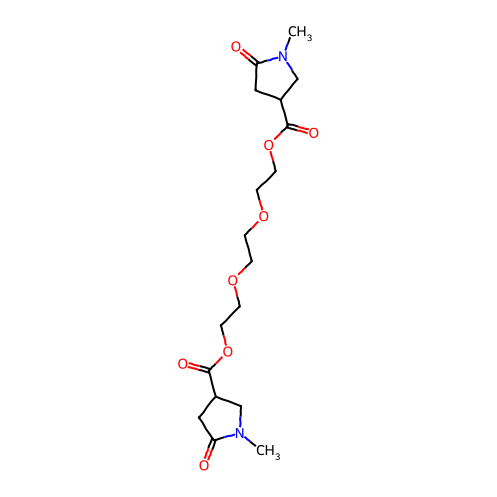 CN1CC(C(=O)OCCOCCOCCOC(=O)C2CC(=O)N(C)C2)CC1=O